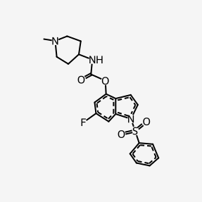 CN1CCC(NC(=O)Oc2cc(F)cc3c2ccn3S(=O)(=O)c2ccccc2)CC1